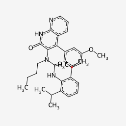 CCCCN(C(=O)Nc1c(C(C)C)cccc1C(C)C)c1c(-c2cccc(OC)c2)c2cccnc2[nH]c1=O